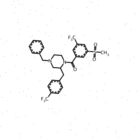 CS(=O)(=O)c1cc(C(=O)N2CCN(Cc3ccccc3)CC2Cc2ccc(C(F)(F)F)cc2)cc(C(F)(F)F)c1